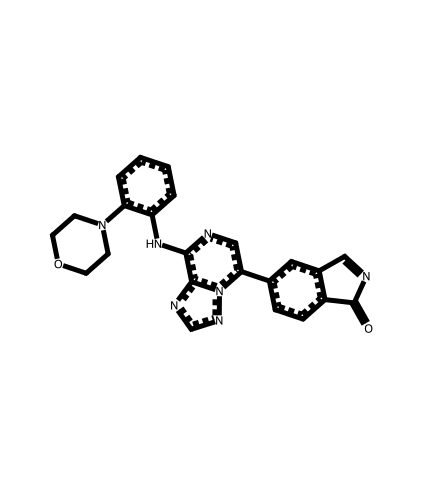 O=C1N=Cc2cc(-c3cnc(Nc4ccccc4N4CCOCC4)c4ncnn34)ccc21